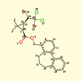 CC1(C)[C@H](C(=O)OCc2cccc3c2CCCc2ccccc2-3)[C@@H]1C(Br)C(Cl)(Cl)Br